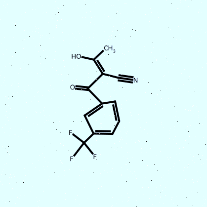 C/C(O)=C(\C#N)C(=O)c1cccc(C(F)(F)F)c1